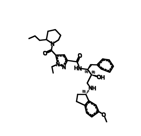 CCCC1CCCCN1C(=O)c1cc(C(=O)N[C@@H](Cc2ccccc2)[C@@H](O)CN[C@H]2CCc3ccc(OC)cc32)nn1CC